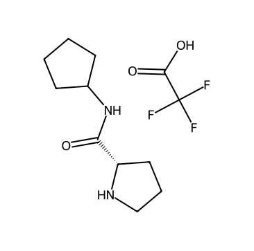 O=C(NC1CCCC1)[C@@H]1CCCN1.O=C(O)C(F)(F)F